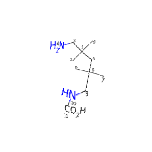 CC(C)(CN)CC(C)(C)CNC(=O)O